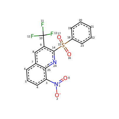 O=[N+]([O-])c1cccc2cc(C(F)(F)F)c(S(=O)(=O)c3ccccc3)nc12